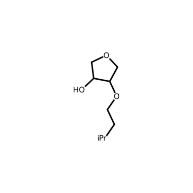 CC(C)CCOC1COCC1O